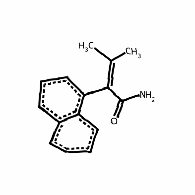 CC(C)=C(C(N)=O)c1cccc2ccccc12